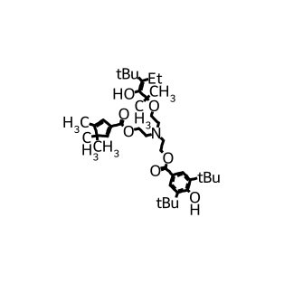 CC/C(=C(/O)C(C)(C)OCCN(CCOC(=O)C1=CC(C)(C)C(C)=C1)CCOC(=O)c1cc(C(C)(C)C)c(O)c(C(C)(C)C)c1)C(C)(C)C